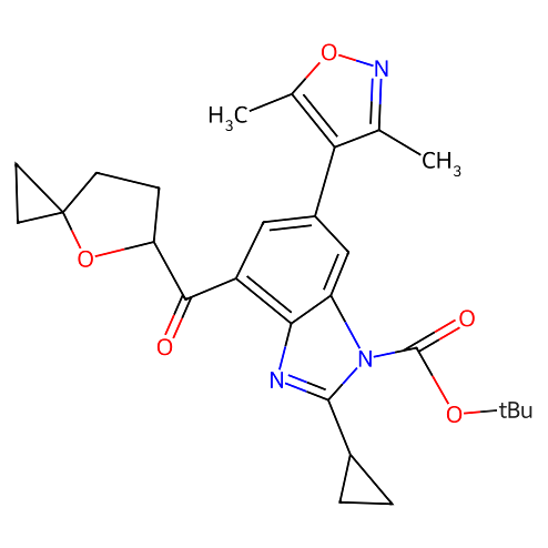 Cc1noc(C)c1-c1cc(C(=O)C2CCC3(CC3)O2)c2nc(C3CC3)n(C(=O)OC(C)(C)C)c2c1